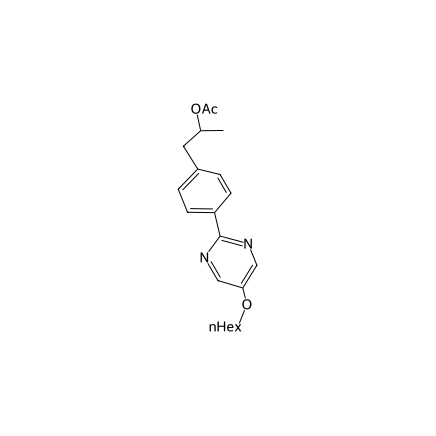 CCCCCCOc1cnc(-c2ccc(CC(C)OC(C)=O)cc2)nc1